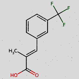 C/C(=C\c1cccc(C(F)(F)F)c1)C(=O)O